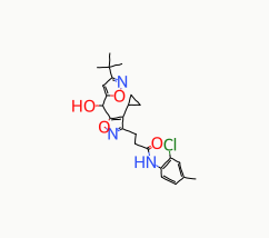 Cc1ccc(NC(=O)CCc2noc(C(O)c3cc(C(C)(C)C)no3)c2C2CC2)c(Cl)c1